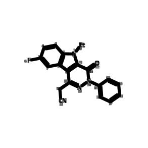 CCn1c2ccc(F)cc2c2c(CC#N)nn(-c3ccccc3)c(=O)c21